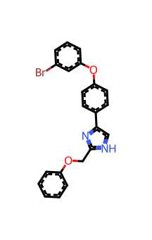 Brc1cccc(Oc2ccc(-c3c[nH]c(COc4ccccc4)n3)cc2)c1